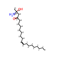 CCCCCCCC/C=C\CCCCCCCC(=O)CC(C)(N)O